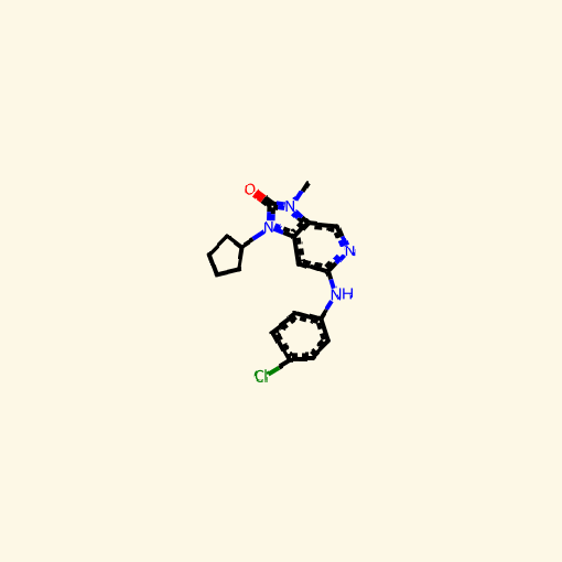 Cn1c(=O)n(C2CCCC2)c2cc(Nc3ccc(Cl)cc3)ncc21